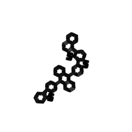 c1ccc2c(c1)ccc1sc3c(ccc4sc5ccc(-c6c7ccccc7c(-c7ccc8c(c7)sc7ccccc78)c7ccccc67)cc5c43)c12